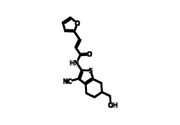 N#Cc1c(NC(=O)C=Cc2ccco2)sc2c1CCC(CO)C2